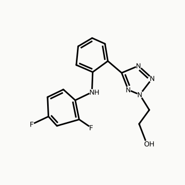 OCCn1nnc(-c2ccccc2Nc2ccc(F)cc2F)n1